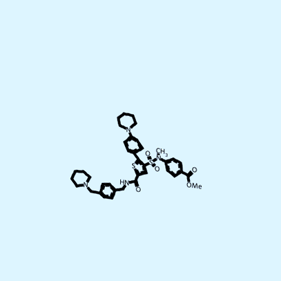 COC(=O)c1ccc(N(C)S(=O)(=O)c2cc(C(=O)NCc3ccc(CN4CCCCC4)cc3)sc2-c2ccc(N3CCCCC3)cc2)cc1